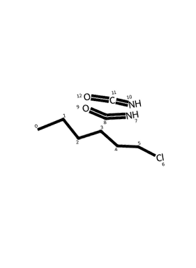 CCCCCCCl.N=C=O.N=C=O